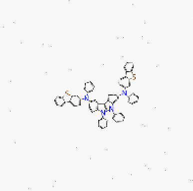 c1ccc(N(c2ccc3c(c2)sc2ccccc23)c2ccc3c(c2)c2c4ccc(N(c5ccccc5)c5ccc6c(c5)sc5ccccc56)cc4n(-c4ccccc4)c2n3-c2ccccc2)cc1